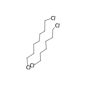 ClCCCCCCCCl.ClCCCCCCCl